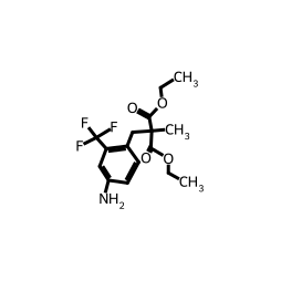 CCOC(=O)C(C)(Cc1ccc(N)cc1C(F)(F)F)C(=O)OCC